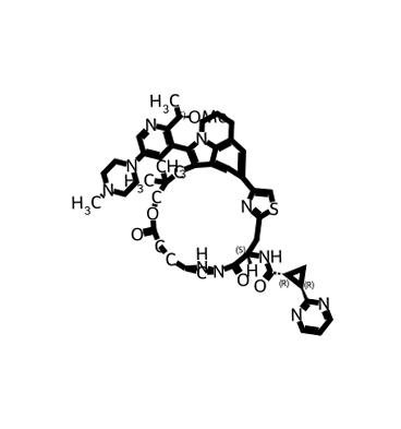 CO[C@@H](C)c1ncc(N2CCN(C)CC2)cc1-c1c2c3cc(cc4c3n1CCC4)-c1csc(n1)C[C@H](NC(=O)[C@@H]1C[C@H]1c1ncccn1)C(=O)N1CC(CCC(=O)OCC(C)(C)C2)N1